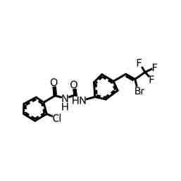 O=C(NC(=O)c1ccccc1Cl)Nc1ccc(C=C(Br)C(F)(F)F)cc1